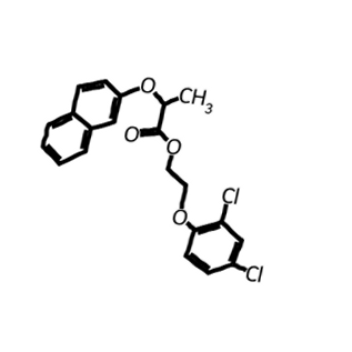 CC(Oc1ccc2ccccc2c1)C(=O)OCCOc1ccc(Cl)cc1Cl